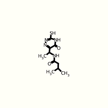 CC(C)CC(=O)NC(C)c1nnc(S)[nH]c1=O